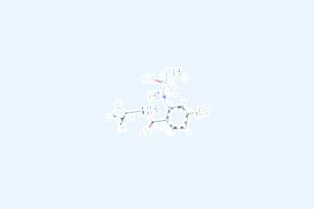 CS(=O)(=O)Nc1cc(Br)ccc1C(=O)NC12CC(C1)C2